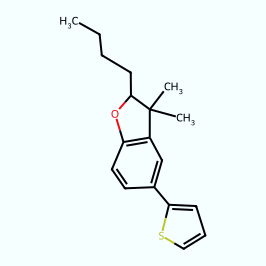 CCCCC1Oc2ccc(-c3cccs3)cc2C1(C)C